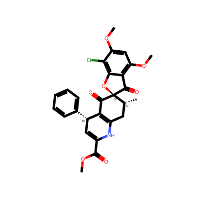 COC(=O)C1=C[C@H](c2ccccc2)C2=C(C[C@@H](C)[C@]3(Oc4c(Cl)c(OC)cc(OC)c4C3=O)C2=O)N1